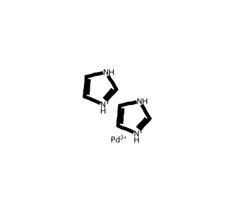 [Pd+2].c1c[nH+]c[nH]1.c1c[nH+]c[nH]1